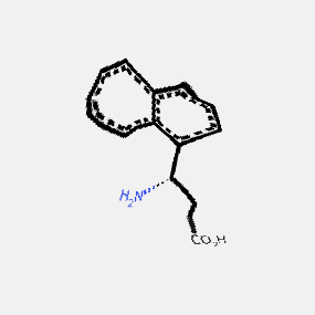 N[C@@H](CC(=O)O)c1cccc2ccccc12